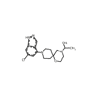 CC(O)N1CCOC2(CCN(c3cc(Cl)cc4[nH]ncc34)CC2)C1